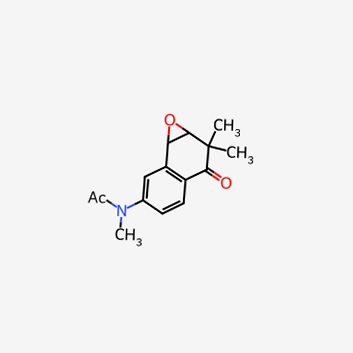 CC(=O)N(C)c1ccc2c(c1)C1OC1C(C)(C)C2=O